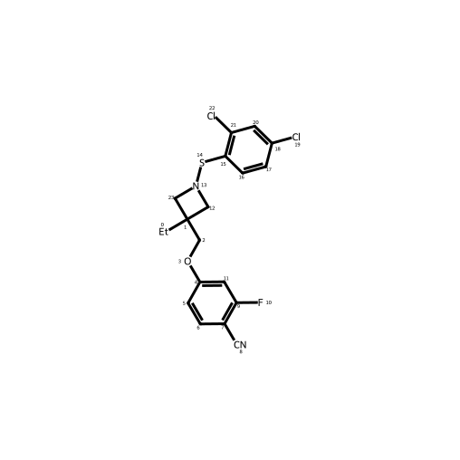 CCC1(COc2ccc(C#N)c(F)c2)CN(Sc2ccc(Cl)cc2Cl)C1